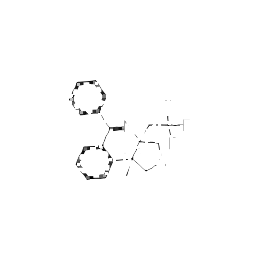 C[C@]12CSC[C@@]1(CC(F)(F)F)N=C(c1ccccc1)c1ccccc12